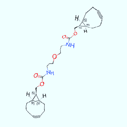 O=C(NCCOCCNC(=O)OC[C@@H]1[C@@H]2CCC#CCC[C@@H]21)OC[C@@H]1[C@@H]2CCC#CCC[C@@H]21